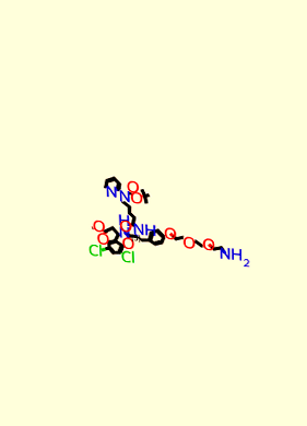 COC(=O)CC(NC(=O)[C@H](Cc1ccc(OCCOCCOCCN)cc1)NC(=O)CCCCN(C(=O)OC(C)(C)C)c1ccccn1)c1cc(Cl)cc(Cl)c1